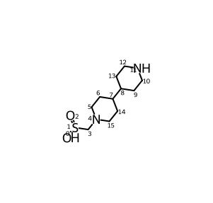 O=[SH](=O)CN1CCC(C2CCNCC2)CC1